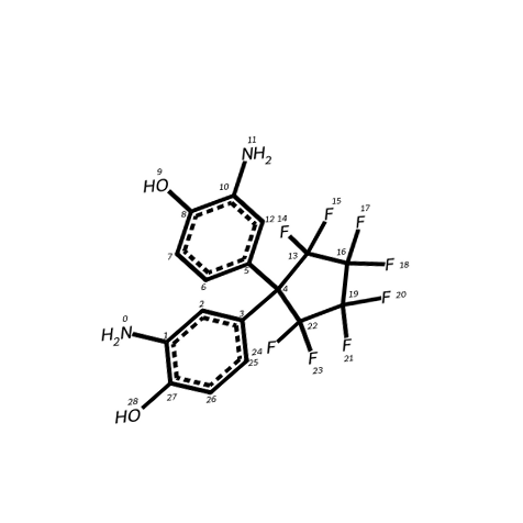 Nc1cc(C2(c3ccc(O)c(N)c3)C(F)(F)C(F)(F)C(F)(F)C2(F)F)ccc1O